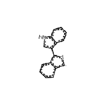 [c]1sc(-c2c[nH]c3ccccc23)c2ccccc12